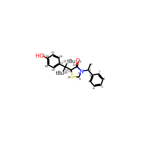 CC(c1ccccc1)N1CSC(C(c2ccc(O)cc2)(C(C)(C)C)C(C)(C)C)C1=O